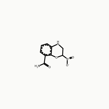 NC(=O)c1cccc2c1OC([N+](=O)[O-])CN2